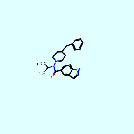 CC(C(=O)O)N(C(=O)c1ccc2[nH]ccc2c1)N1CCC(Cc2ccccc2)CC1